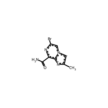 Cc1[c]n2cc(Br)nc(C(N)=O)c2n1